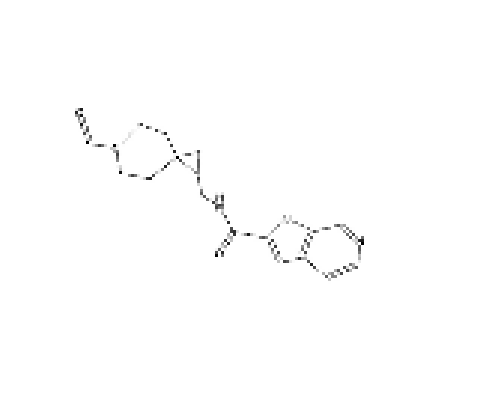 O=CN1CCC2(CC1)CC2CNC(=O)c1cc2ccncc2o1